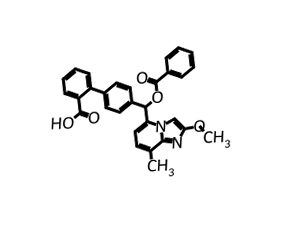 COc1cn2c(C(OC(=O)c3ccccc3)c3ccc(-c4ccccc4C(=O)O)cc3)ccc(C)c2n1